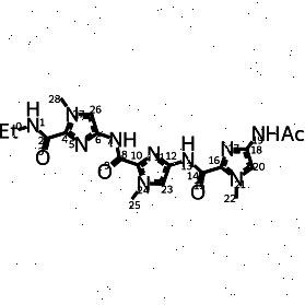 CCNC(=O)c1nc(NC(=O)c2nc(NC(=O)c3nc(NC(C)=O)cn3C)cn2C)cn1C